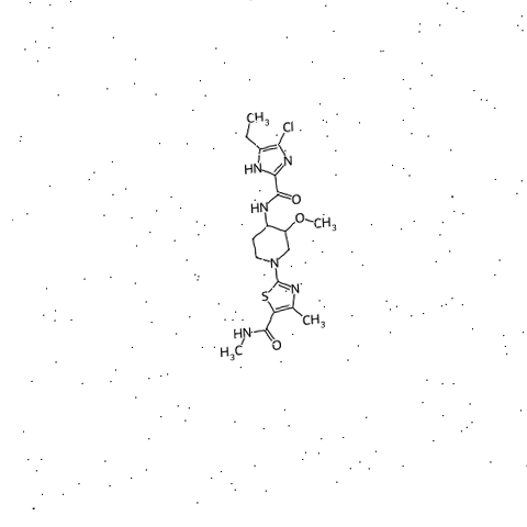 CCc1[nH]c(C(=O)NC2CCN(c3nc(C)c(C(=O)NC)s3)CC2OC)nc1Cl